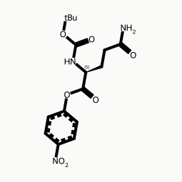 CC(C)(C)OC(=O)N[C@@H](CCC(N)=O)C(=O)Oc1ccc([N+](=O)[O-])cc1